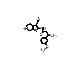 COc1cccc(C(C)CC(=O)Nc2sc3c(c2C#N)CCNC3)c1